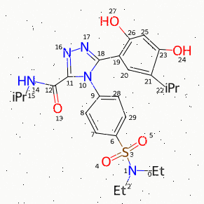 CCN(CC)S(=O)(=O)c1ccc(-n2c(C(=O)NC(C)C)nnc2-c2cc(C(C)C)c(O)cc2O)cc1